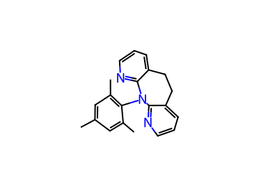 Cc1cc(C)c(N2c3ncccc3CCc3cccnc32)c(C)c1